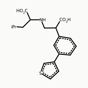 CC(C)CC(NCC(C(=O)O)c1cccc(-c2ccsc2)c1)C(=O)O